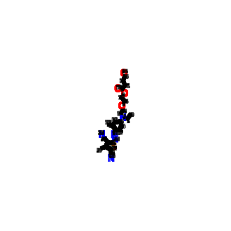 CCN(CCOCCOC(=O)CCC=O)c1ccc(/N=N/c2sc(C#N)c(C)c2C#N)c(C)c1